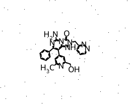 Cc1cc(-c2c(-c3ccccc3)nc(N)[n+]3c(=O)n(Cc4cccnn4)[nH]c23)cc(CO)n1